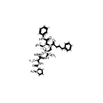 CO[P@](=O)(CN(C(=O)CCCc1ccccc1)[C@@H](CC(C)C)C(=O)Nc1ccccc1)[C@H](C)NC(=O)[C@H](C)NC(=O)[C@@H]1CCCN1C(C)=O